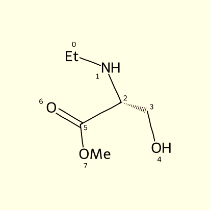 CCN[C@H](CO)C(=O)OC